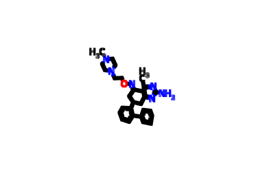 Cc1nc(N)nc2c1C(=NOCCN1CCN(C)CC1)CC(c1ccccc1-c1ccccc1)C2